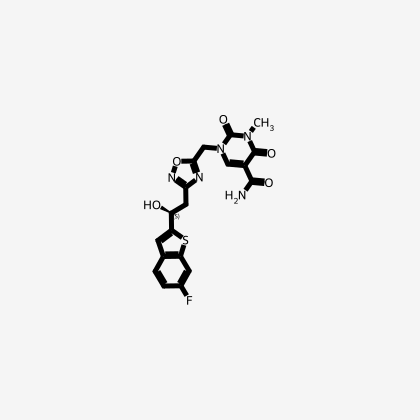 Cn1c(=O)c(C(N)=O)cn(Cc2nc(C[C@H](O)c3cc4ccc(F)cc4s3)no2)c1=O